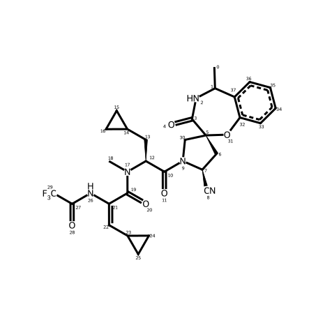 CC1NC(=O)[C@]2(C[C@@H](C#N)N(C(=O)[C@H](CC3CC3)N(C)C(=O)C(=CC3CC3)NC(=O)C(F)(F)F)C2)Oc2ccccc21